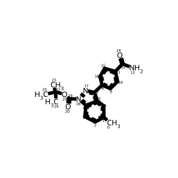 Cc1ccc2c(c1)c(-c1ccc(C(N)=O)cc1)nn2C(=O)OC(C)(C)C